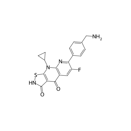 NCc1ccc(-c2nc3c(cc2F)c(=O)c2c(=O)[nH]sc2n3C2CC2)cc1